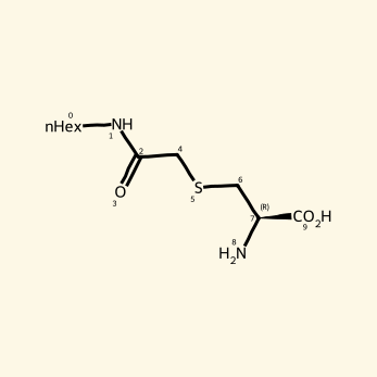 CCCCCCNC(=O)CSC[C@H](N)C(=O)O